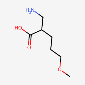 COCCCC(CN)C(=O)O